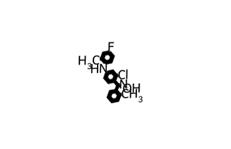 Cc1cc(F)ccc1Nc1ccc(C(=NO)c2ccccc2C)c(Cl)c1